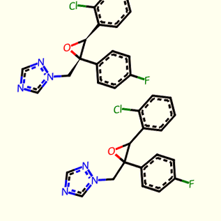 Fc1ccc(C2(Cn3cncn3)OC2c2ccccc2Cl)cc1.Fc1ccc([C@]2(Cn3cncn3)O[C@H]2c2ccccc2Cl)cc1